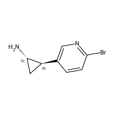 N[C@H]1C[C@@H]1c1ccc(Br)nc1